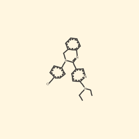 CCN(CC)c1ccc(C2=Nc3ccccc3CN2c2ccc(Cl)cc2)cn1